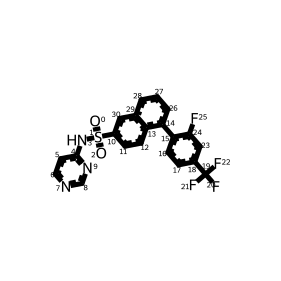 O=S(=O)(Nc1ccncn1)c1ccc2c(-c3ccc(C(F)(F)F)cc3F)cccc2c1